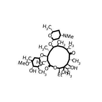 CC[C@H]1OC(=O)[C@H](C)[C@@H](O[C@H]2C[C@@](C)(OC)[C@@H](O)[C@H](C)O2)[C@H](C)[C@@H](O[C@H]2C[C@@H](NC)C[C@@H](C)O2)[C@@H](C)C[C@@H](C)C(=O)[C@H](C)[C@@H](O)[C@]1(C)O